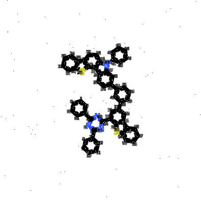 c1ccc(-c2nc(-c3ccccc3)nc(-c3cc(-c4cccc(-c5ccc6c7c8sc9ccccc9c8ccc7n(-c7ccccc7)c6c5)c4)cc4c3sc3ccccc34)n2)cc1